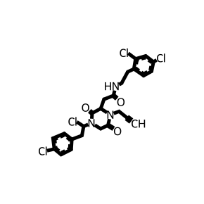 C#CCN1C(=O)CN(C(Cl)Cc2ccc(Cl)cc2)C(=O)C1CC(=O)NCCc1ccc(Cl)cc1Cl